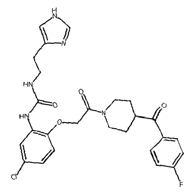 O=C(NCCc1c[nH]cn1)Nc1cc(Cl)ccc1OCC(=O)N1CCC(C(=O)c2ccc(F)cc2)CC1